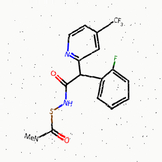 CNC(=O)SNC(=O)C(c1cc(C(F)(F)F)ccn1)c1ccccc1F